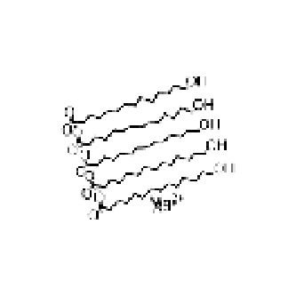 O=C([O-])CCCCCCCCCCCCCO.O=C([O-])CCCCCCCCCCCCCO.O=C([O-])CCCCCCCCCCCCCO.O=C([O-])CCCCCCCCCCCCCO.O=C([O-])CCCCCCCCCCCCCO.[Al+3].[Mg+2]